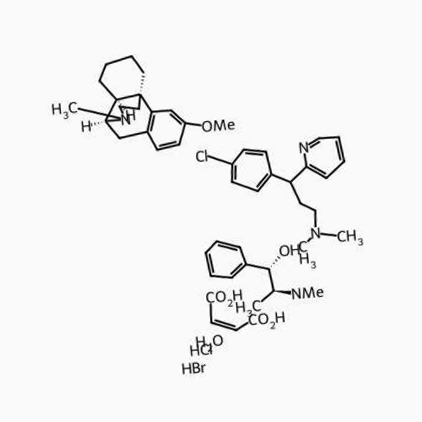 Br.CN(C)CCC(c1ccc(Cl)cc1)c1ccccn1.CN[C@@H](C)[C@@H](O)c1ccccc1.COc1ccc2c(c1)[C@]13CCCC[C@@H]1[C@H](C2)N(C)CC3.Cl.O.O=C(O)/C=C\C(=O)O